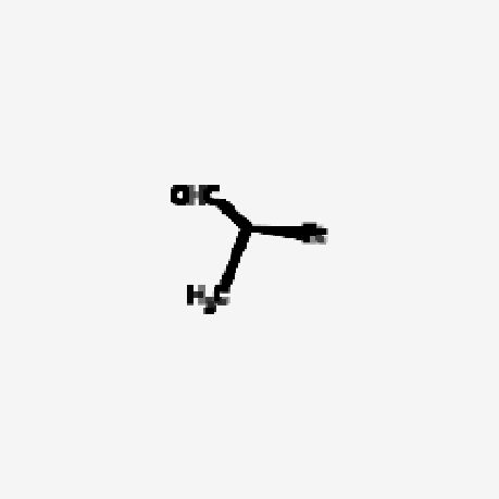 CC[C@@H](C)C=O